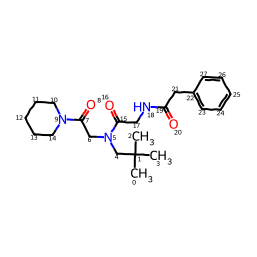 CC(C)(C)CN(CC(=O)N1CCCCC1)C(=O)CNC(=O)Cc1ccccc1